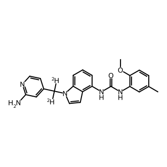 [2H]C([2H])(c1ccnc(N)c1)n1ccc2c(NC(=O)Nc3cc(C)ccc3OC)cccc21